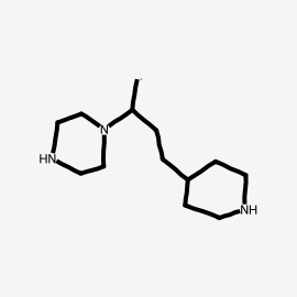 [CH2]C(CCC1CCNCC1)N1CCNCC1